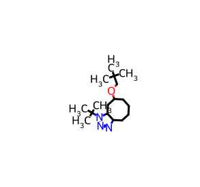 CC(C)(C)COC1CCCCC2N=NN(C(C)(C)C)C2C1